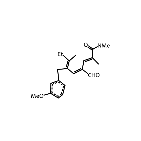 CC/C(C)=C(/C=C(C=O)\C=C(/C)C(=O)NC)Cc1cccc(OC)c1